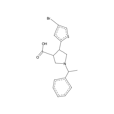 CC(c1ccccc1)N1CC(C(=O)O)C(c2cc(Br)cs2)C1